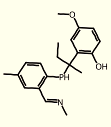 CCC(C)(Pc1ccc(C)cc1/C=N/C)c1cc(OC)ccc1O